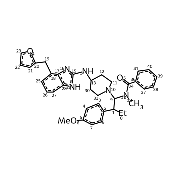 CCC(c1ccc(OC)cc1)C(N1CCC(Nc2nc3c(Cc4ccco4)cccc3[nH]2)CC1)N(C)C(=O)c1ccccc1